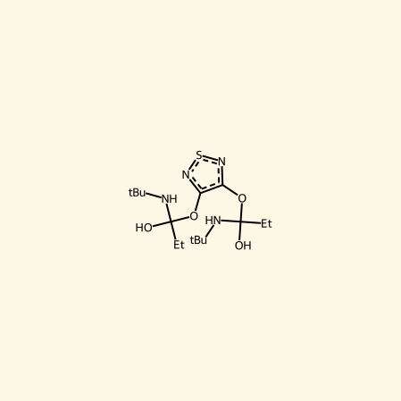 CCC(O)(NC(C)(C)C)Oc1nsnc1OC(O)(CC)NC(C)(C)C